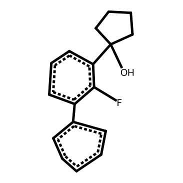 OC1(c2cccc(-c3ccccc3)c2F)CCCC1